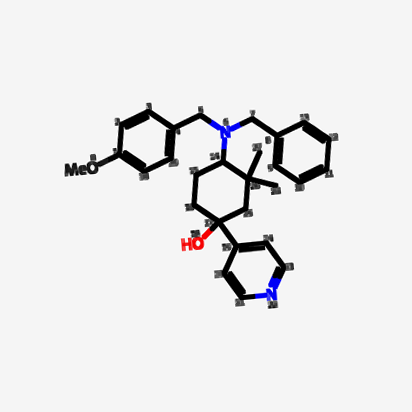 COc1ccc(CN(Cc2ccccc2)C2CCC(O)(c3ccncc3)CC2(C)C)cc1